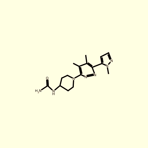 Cc1c(-c2ccnn2C)nnc(N2CCC(NC(N)=O)CC2)c1C